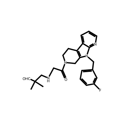 CC(C)(C=O)CNCC(=O)N1CCc2c(n(Cc3cccc(F)c3)c3ncccc23)C1